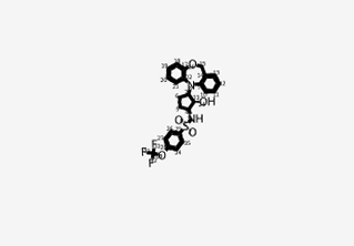 O=S(=O)(NC1CCC(N2c3ccccc3COc3ccccc32)[C@H]1O)c1ccc(OC(F)(F)F)cc1